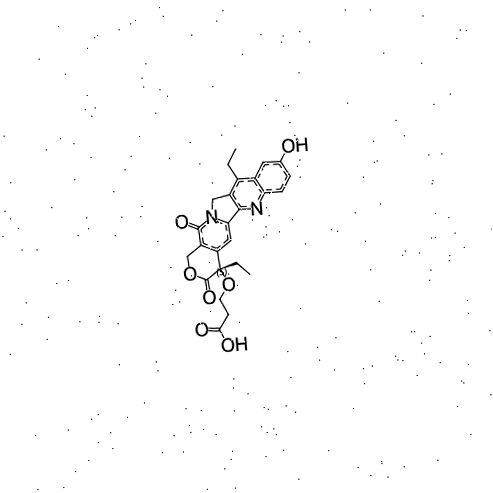 CCc1c2c(nc3ccc(O)cc13)-c1cc3c(c(=O)n1C2)COC(=O)[C@@]3(CC)OCCC(=O)O